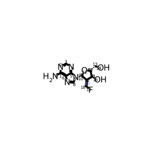 Nc1ncnc2c1ncn2[C@@H]1O[C@H](CO)[C@@H](O)/C1=C\F